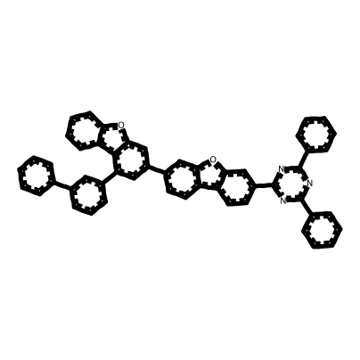 c1ccc(-c2cccc(-c3cc(-c4ccc5c(c4)oc4cc(-c6nc(-c7ccccc7)nc(-c7ccccc7)n6)ccc45)cc4oc5ccccc5c34)c2)cc1